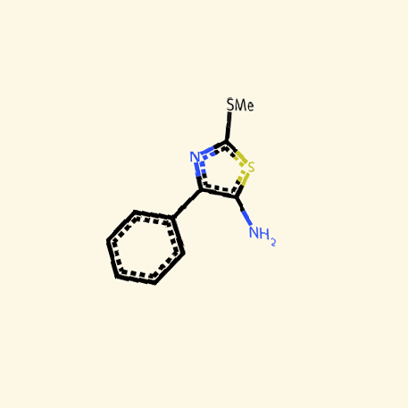 CSc1nc(-c2ccccc2)c(N)s1